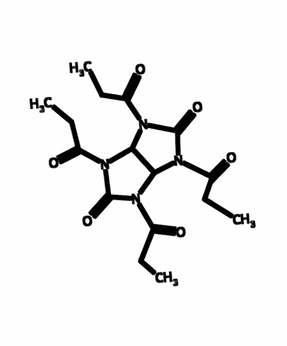 CCC(=O)N1C(=O)N(C(=O)CC)C2C1N(C(=O)CC)C(=O)N2C(=O)CC